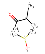 CC(=O)C(C)C.C[S+](C)[O-]